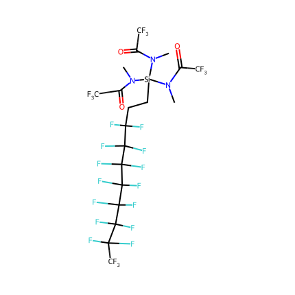 CN(C(=O)C(F)(F)F)[Si](CCC(F)(F)C(F)(F)C(F)(F)C(F)(F)C(F)(F)C(F)(F)C(F)(F)C(F)(F)F)(N(C)C(=O)C(F)(F)F)N(C)C(=O)C(F)(F)F